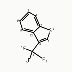 FC(F)(F)c1csc2c[c]ccc12